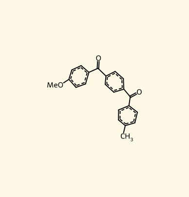 COc1ccc(C(=O)c2ccc(C(=O)c3ccc(C)cc3)cc2)cc1